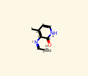 CCC(C)/C=N\c1c(C)cc[nH]c1=O